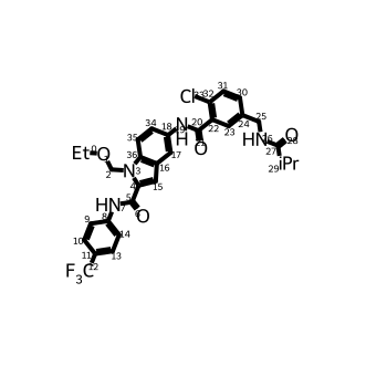 CCOCn1c(C(=O)Nc2ccc(C(F)(F)F)cc2)cc2cc(NC(=O)c3cc(CNC(=O)C(C)C)ccc3Cl)ccc21